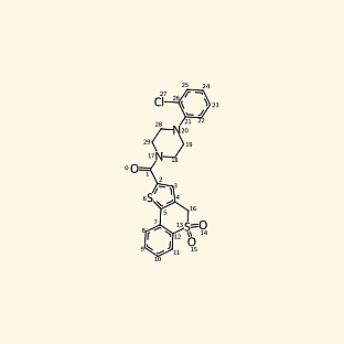 O=C(c1cc2c(s1)-c1ccccc1S(=O)(=O)C2)N1CCN(c2ccccc2Cl)CC1